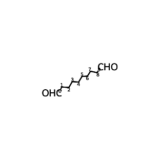 O=CCCCCCCCCC=O